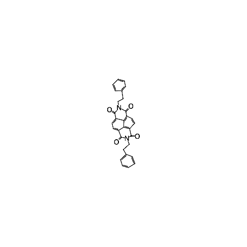 O=C1c2ccc3c4c(ccc(c24)C(=O)N1CCc1ccccc1)C(=O)N(CCc1ccccc1)C3=O